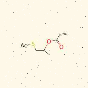 C=CC(=O)OC(C)CSC(C)=O